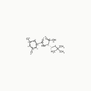 CC(C)(C)CC[C@H](NC(=O)c1cc(Cl)cc(Cl)c1)C(=O)O